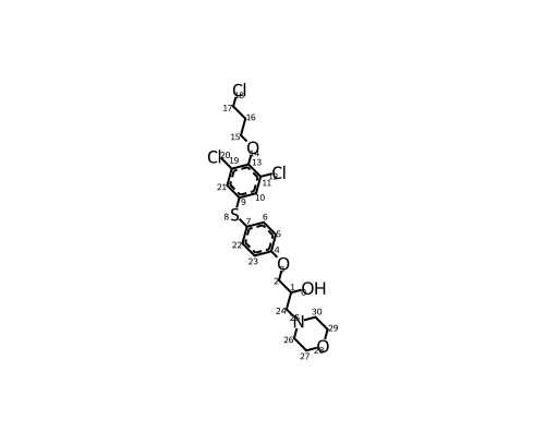 OC(COc1ccc(Sc2cc(Cl)c(OCCCCl)c(Cl)c2)cc1)CN1CCOCC1